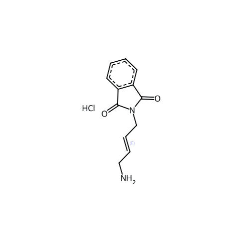 Cl.NC/C=C/CN1C(=O)c2ccccc2C1=O